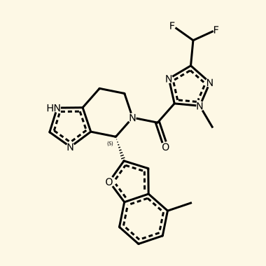 Cc1cccc2oc([C@@H]3c4nc[nH]c4CCN3C(=O)c3nc(C(F)F)nn3C)cc12